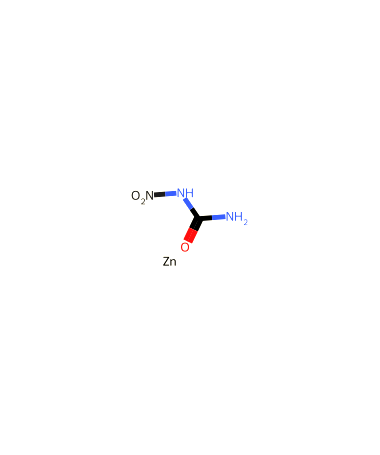 NC(=O)N[N+](=O)[O-].[Zn]